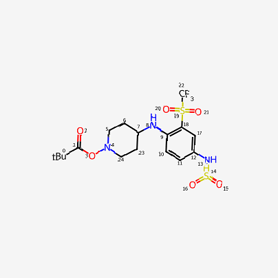 CC(C)(C)C(=O)ON1CCC(Nc2ccc(N[SH](=O)=O)cc2S(=O)(=O)C(F)(F)F)CC1